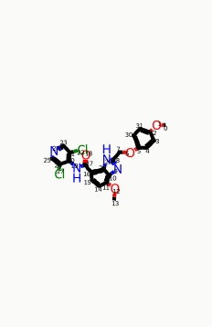 COc1ccc(OCc2nc3c(OC)ccc(C(=O)Nc4c(Cl)cncc4Cl)c3[nH]2)cc1